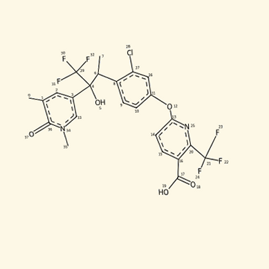 Cc1cc(C(O)(C(C)c2ccc(Oc3ccc(C(=O)O)c(C(F)(F)F)n3)cc2Cl)C(F)(F)F)cn(C)c1=O